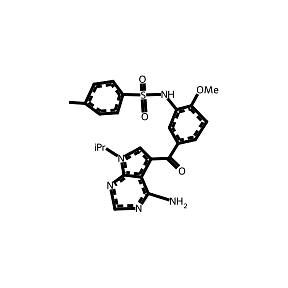 COc1ccc(C(=O)c2cn(C(C)C)c3ncnc(N)c23)cc1NS(=O)(=O)c1ccc(C)cc1